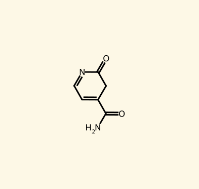 NC(=O)C1=CC=NC(=O)C1